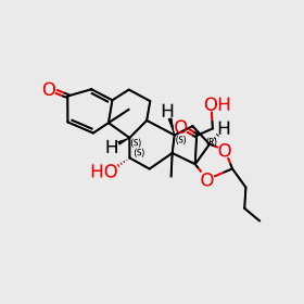 CCCC1O[C@@H]2C[C@H]3C4CCC5=CC(=O)C=CC5(C)[C@H]4[C@@H](O)CC3(C)C2(C(=O)CO)O1